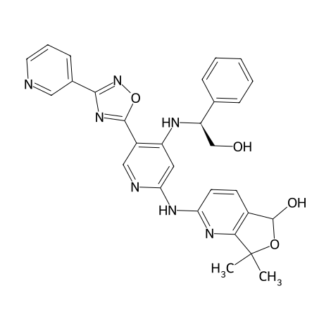 CC1(C)OC(O)c2ccc(Nc3cc(N[C@H](CO)c4ccccc4)c(-c4nc(-c5cccnc5)no4)cn3)nc21